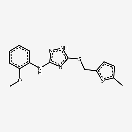 COc1ccccc1Nc1n[nH]c(SCc2ccc(C)s2)n1